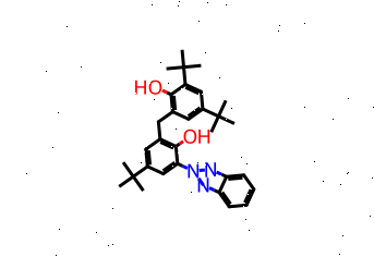 CC(C)(C)c1cc(Cc2cc(C(C)(C)C)cc(C(C)(C)C)c2O)c(O)c(-n2n3c4ccccc4n23)c1